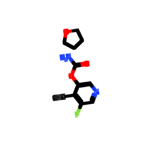 C1CCOC1.NC(=O)Oc1cncc(F)c1C=O